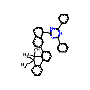 CC1(C)c2ccccc2-c2cccc(-c3ccc4cccc(-c5nc(-c6ccccc6)nc(-c6ccccc6)n5)c4c3)c2C1(C)C